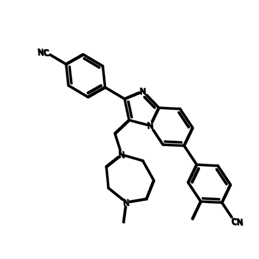 Cc1cc(-c2ccc3nc(-c4ccc(C#N)cc4)c(CN4CCCN(C)CC4)n3c2)ccc1C#N